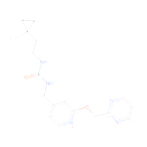 O=C(NCCC1(C(F)(F)F)CC1)NCc1ccnc(OCc2ncccn2)c1